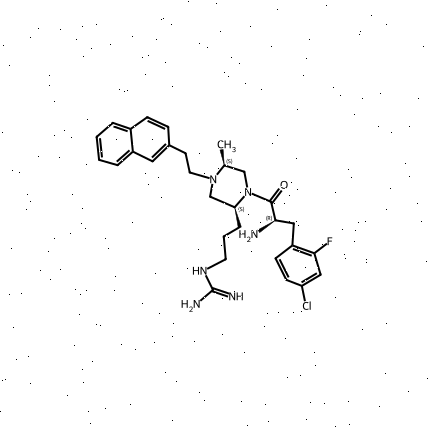 C[C@H]1CN(C(=O)[C@H](N)Cc2ccc(Cl)cc2F)[C@@H](CCCNC(=N)N)CN1CCc1ccc2ccccc2c1